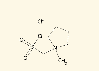 C[N+]1(CS(=O)(=O)Cl)CCCC1.[Cl-]